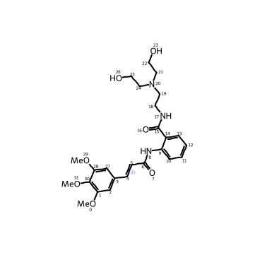 COc1cc(/C=C/C(=O)Nc2ccccc2C(=O)NCCN(CCO)CCO)cc(OC)c1OC